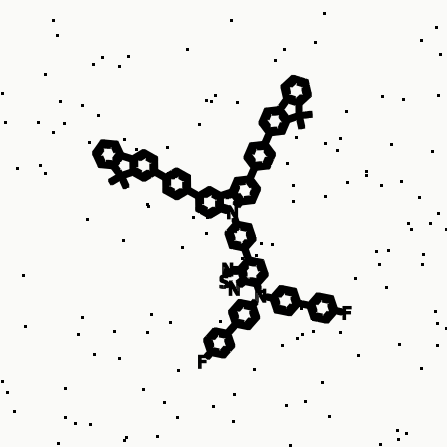 CC1(C)c2ccccc2-c2ccc(-c3ccc(-c4ccc5c(c4)c4cc(-c6ccc(-c7ccc8c(c7)C(C)(C)c7ccccc7-8)cc6)ccc4n5-c4ccc(-c5ccc(N(c6ccc(-c7ccc(F)cc7)cc6)c6ccc(-c7ccc(F)cc7)cc6)c6nsnc56)cc4)cc3)cc21